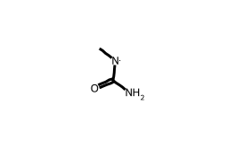 C[N]C(N)=O